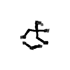 CC(O)(CO)CO.CCOCC